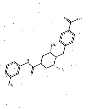 Cc1cccc(NC(=S)N2C[C@@H](C)N(Cc3ccc(C(=O)O)cc3)[C@@H](C)C2)c1